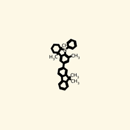 Cc1cc(-c2ccc3c(c2)C(C)(C)c2ccccc2-3)cc2c1N(c1ccccc1)C1(C)CCCCC21C